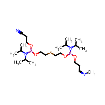 C/N=C\CCOP(OCCSCCOP(OCCC#N)N(C(C)C)C(C)C)N(C(C)C)C(C)C